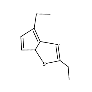 CCC1=[C]C2=C(CC)C=CC2S1